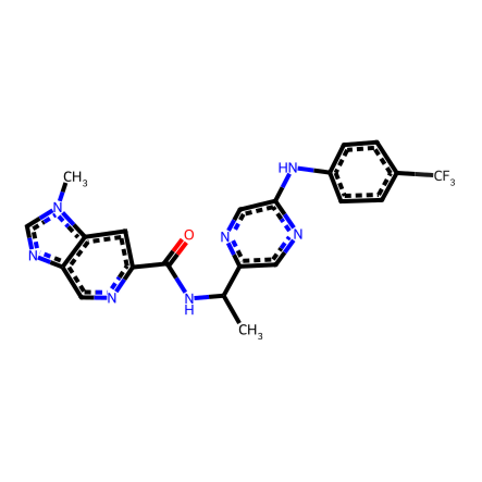 CC(NC(=O)c1cc2c(cn1)ncn2C)c1cnc(Nc2ccc(C(F)(F)F)cc2)cn1